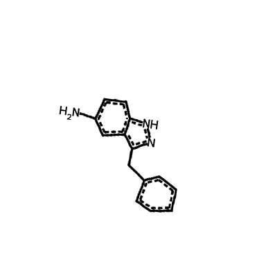 Nc1ccc2[nH]nc(Cc3ccccc3)c2c1